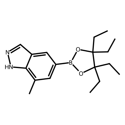 CCC1(CC)OB(c2cc(C)c3[nH]ncc3c2)OC1(CC)CC